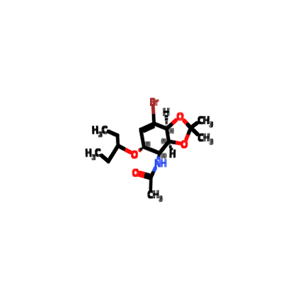 CCC(CC)O[C@@H]1C=C(Br)[C@H]2OC(C)(C)O[C@H]2[C@H]1NC(C)=O